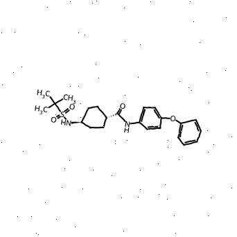 CC(C)(C)S(=O)(=O)N[C@H]1CC[C@H](C(=O)Nc2ccc(Oc3ccccc3)cc2)CC1